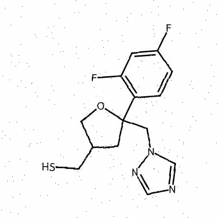 Fc1ccc(C2(Cn3cncn3)CC(CS)CO2)c(F)c1